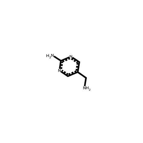 NCc1cnc(N)nc1